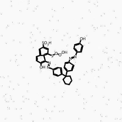 O=S(=O)(O)c1cc(SOOO)c2c(N=Nc3ccc(C4(c5ccc(N=Nc6ccc(O)cc6)cc5)CCCCC4)cc3)c(O)ccc2c1